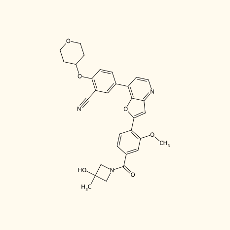 COc1cc(C(=O)N2CC(C)(O)C2)ccc1-c1cc2nccc(-c3ccc(OC4CCOCC4)c(C#N)c3)c2o1